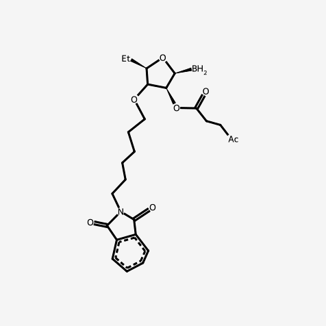 B[C@@H]1O[C@H](CC)C(OCCCCCCN2C(=O)c3ccccc3C2=O)[C@@H]1OC(=O)CCC(C)=O